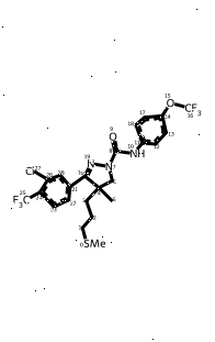 CSCCCC1(C)CN(C(=O)Nc2ccc(OC(F)(F)F)cc2)N=C1c1ccc(C(F)(F)F)c(Cl)c1